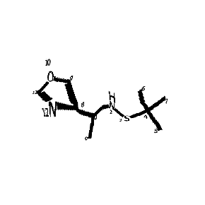 CC(NSC(C)(C)C)c1cocn1